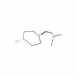 CCN(C)C[C@H]1CC[C@H](C(F)(F)F)CC1